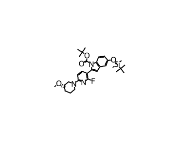 CO[C@H]1CCCN(c2ccc(-c3cc4cc(O[Si](C)(C)C(C)(C)C)ccc4n3C(=O)OC(C)(C)C)c(F)n2)C1